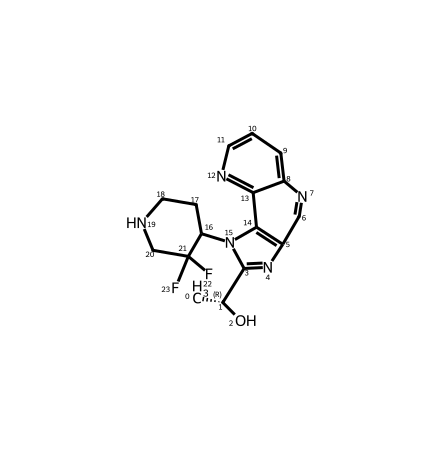 C[C@@H](O)c1nc2cnc3cccnc3c2n1C1CCNCC1(F)F